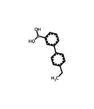 CCc1ccc(-c2cccc(B(O)O)c2)cc1